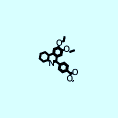 CCOc1cc2c(cc1OCC)C1CCCCC1N=C2c1ccc(C(=O)OC)cc1